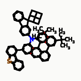 CC(C)(C)c1cc(-c2cccc3cccc(-c4ccccc4N(c4cccc(-c5cccc6sc7ccccc7c56)c4)c4ccc5c(c4)C4(c6ccccc6-5)C5CC6CC7CC4C675)c23)cc(C(C)(C)C)c1